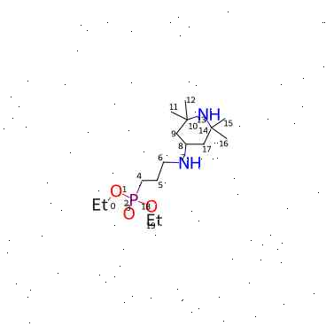 CCOP(=O)(CCCNC1CC(C)(C)NC(C)(C)C1)OCC